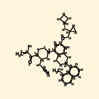 C=C(F)C(=O)N1CCN(c2nc(OCC3(CN4CCC4)CC3)nc3c2CCN(c2cccc4cccc(C)c24)C3)CC1CC#N